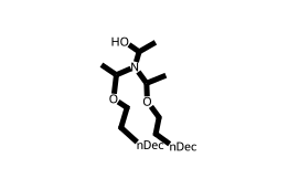 CCCCCCCCCCCCOC(C)N(C(C)O)C(C)OCCCCCCCCCCCC